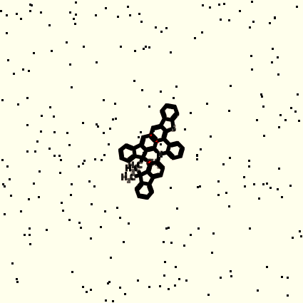 CC1(C)c2ccccc2-c2ccc(N(c3ccccc3-c3cccc4c3sc3ccccc34)c3cccc4c3C(C)(C)c3ccccc3-4)cc21